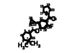 CC1(C)CCCC(COc2cc(F)c(C(=O)N3CCCC3)cc2C2CC2)C1